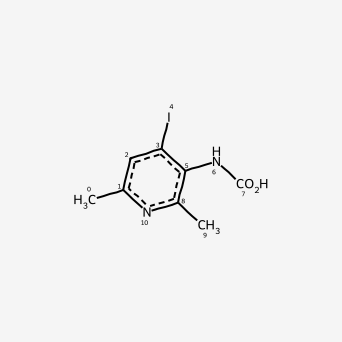 Cc1cc(I)c(NC(=O)O)c(C)n1